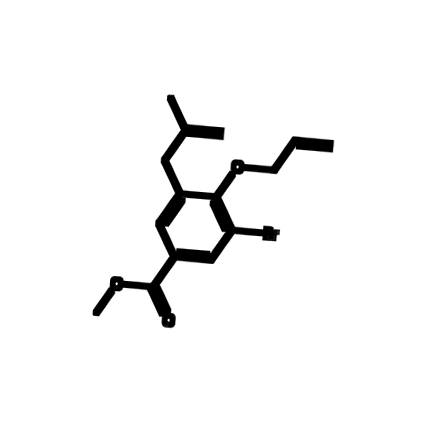 C=CCOc1c(Br)cc(C(=O)OC)cc1CC(=C)C